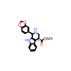 COC(=O)[C@@H]1CNC(c2ccc3c(c2)OCO3)c2[nH]c3ccccc3c21